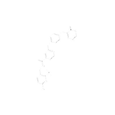 Nc1ccc(CNC(=O)c2ccnc(Cc3ccc(Cc4ccc[nH]c4=O)cc3)c2)c(C(F)(F)F)n1